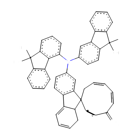 C=C1/C=C\C=C/CC2(c3cc(N(c4ccc5c(c4)-c4ccccc4C5(C)C)c4cccc5c4-c4ccccc4C5(C)C)ccc3C3=CC=CCC32)C2C=CC=CC12